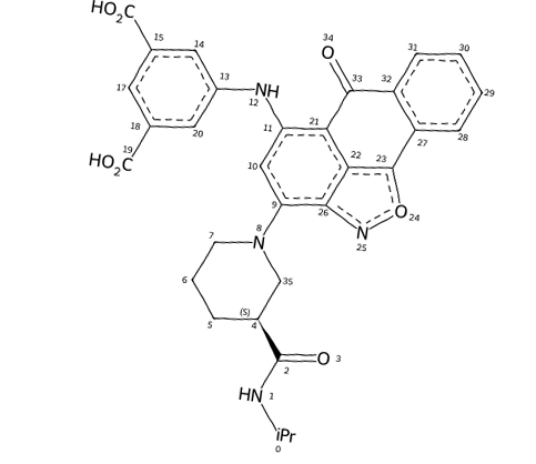 CC(C)NC(=O)[C@H]1CCCN(c2cc(Nc3cc(C(=O)O)cc(C(=O)O)c3)c3c4c(onc24)-c2ccccc2C3=O)C1